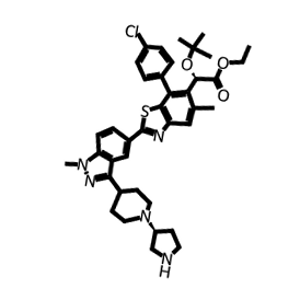 CCOC(=O)[C@@H](OC(C)(C)C)c1c(C)cc2nc(-c3ccc4c(c3)c(C3CCN([C@H]5CCNC5)CC3)nn4C)sc2c1-c1ccc(Cl)cc1